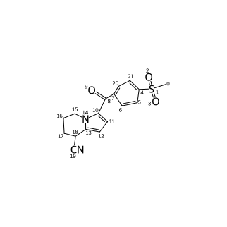 CS(=O)(=O)c1ccc(C(=O)c2ccc3n2CCCC3C#N)cc1